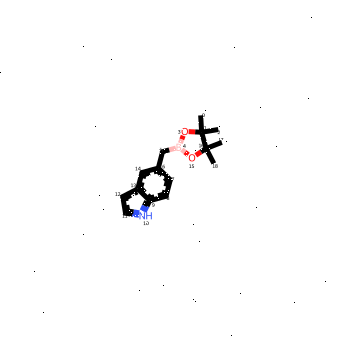 CC1(C)OB(Cc2ccc3[nH]ccc3c2)OC1(C)C